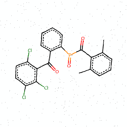 Cc1cccc(C)c1C(=O)[P](=O)c1ccccc1C(=O)c1c(Cl)ccc(Cl)c1Cl